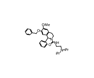 COc1cc2c(cc1OCc1ccccc1)C(c1ccccc1)N(C(=O)NCCN(C(C)C)C(C)C)CC2